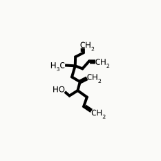 C=CCC(CO)C(=C)CC(C)(CC=C)CC=C